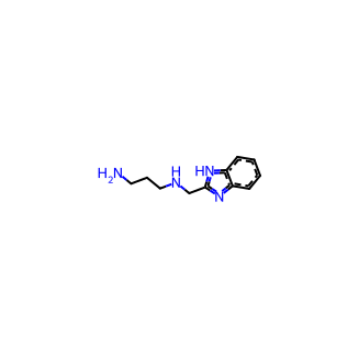 NCCCNCc1nc2ccccc2[nH]1